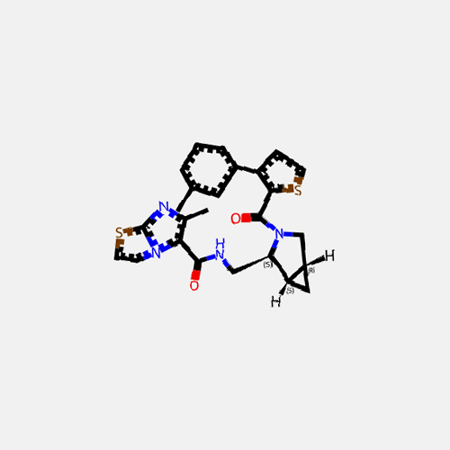 Cc1cccc(-c2ccsc2C(=O)N2C[C@@H]3C[C@@H]3[C@H]2CNC(=O)c2c(C)nc3sccn23)c1